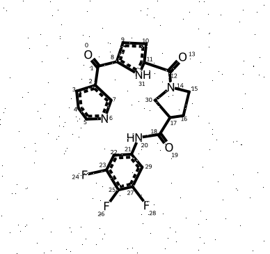 O=C(c1cccnc1)c1ccc(C(=O)N2CCC(C(=O)Nc3cc(F)c(F)c(F)c3)C2)[nH]1